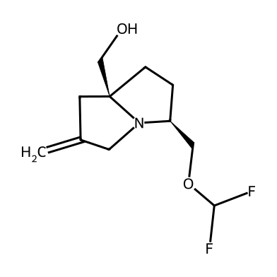 C=C1CN2[C@H](COC(F)F)CC[C@@]2(CO)C1